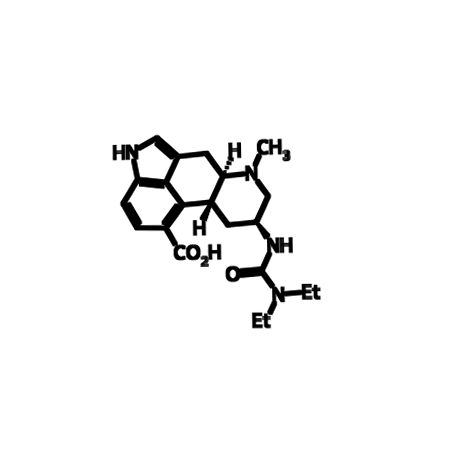 CCN(CC)C(=O)N[C@H]1C[C@@H]2c3c(C(=O)O)ccc4[nH]cc(c34)C[C@H]2N(C)C1